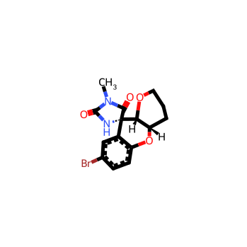 CN1C(=O)N[C@@]2(C1=O)c1cc(Br)ccc1O[C@H]1CCCO[C@H]12